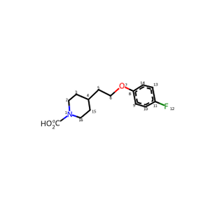 O=C(O)N1CCC(CCOc2ccc(F)cc2)CC1